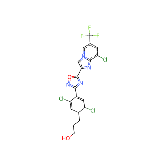 OCCCC1C=C(Cl)C(c2noc(-c3cn4cc(C(F)(F)F)cc(Cl)c4n3)n2)=CC1Cl